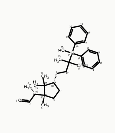 C[C@@H](C=O)[C@@]1(C)CC[C@@H](CCC(C)(C)[Si](O)(c2ccccc2)c2ccccc2)C1(C)C